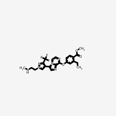 CCc1cc(Oc2nccn3c(-c4cn(CCNC)nc4C(F)(F)F)cnc23)ccc1C(=O)OC